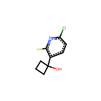 OC1(c2ccc(Cl)nc2F)C[CH]C1